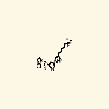 CN1CC[C@H]1COc1cncc(-n2cc(CCCCCC(F)(F)F)nn2)c1